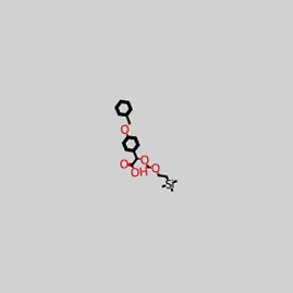 C[Si](C)(C)CCOCO[C@@H](C(=O)O)c1ccc(OCc2ccccc2)cc1